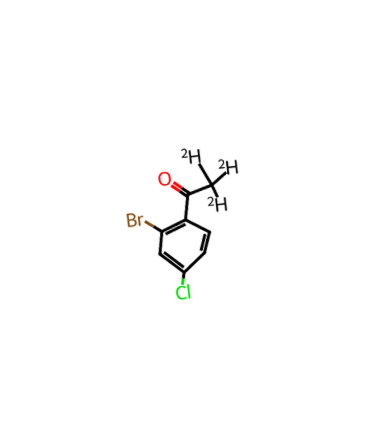 [2H]C([2H])([2H])C(=O)c1ccc(Cl)cc1Br